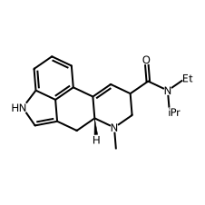 CCN(C(=O)C1C=C2c3cccc4[nH]cc(c34)C[C@H]2N(C)C1)C(C)C